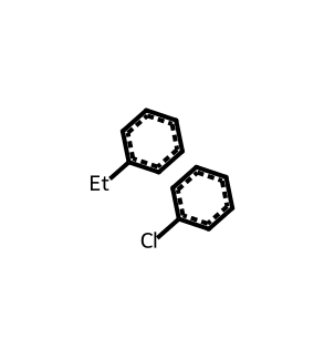 CCc1ccccc1.Clc1ccccc1